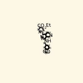 CCOC(=O)C1CCN(c2nnc(NCc3ccc4c(c3)OCO4)c3cnccc23)CC1